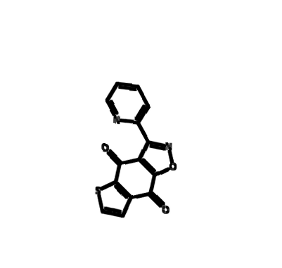 O=C1c2ccsc2C(=O)c2c(-c3ccccn3)noc21